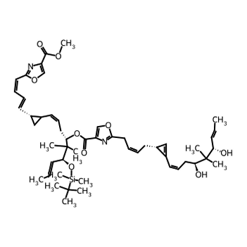 C/C=C/[C@H](O[Si](C)(C)C(C)(C)C)C(C)(C)[C@H](C/C=C\C1C[C@@H]1/C=C/C=C\c1nc(C(=O)OC)co1)OC(=O)c1coc(C/C=C\C[C@@H]2C=C2/C=C\C[C@H](O)C(C)(C)[C@@H](O)/C=C/C)n1